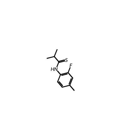 Cc1ccc(NC(=S)C(C)C)c(F)c1